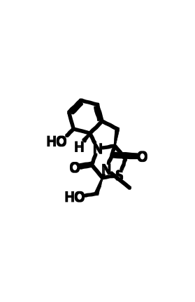 CN1C(=O)[C@@]23CS[C@]1(CO)C(=O)N2[C@H]1C(=CC=CC1O)C3